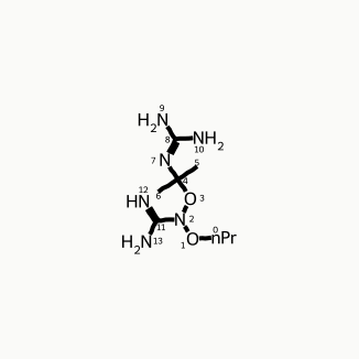 CCCON(OC(C)(C)N=C(N)N)C(=N)N